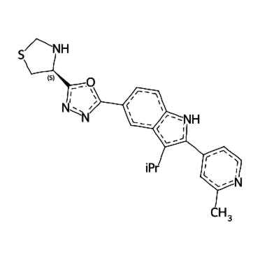 Cc1cc(-c2[nH]c3ccc(-c4nnc([C@H]5CSCN5)o4)cc3c2C(C)C)ccn1